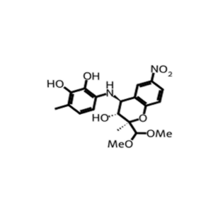 COC(OC)[C@]1(C)Oc2ccc([N+](=O)[O-])cc2[C@H](Nc2ccc(C)c(O)c2O)[C@H]1O